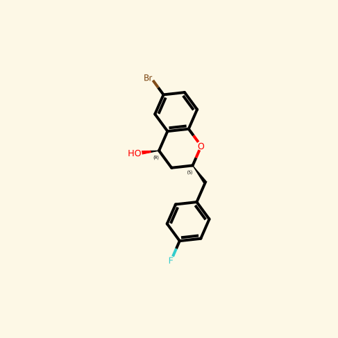 O[C@@H]1C[C@H](Cc2ccc(F)cc2)Oc2ccc(Br)cc21